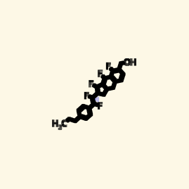 CCCc1ccc(/C(F)=C(\F)C2=C(F)C3=C(F)c4c(ccc(CO)c4F)CC3C2)cc1